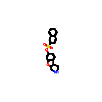 O=S(=O)(Oc1ccc2c(c1)OC1CNCCC21)c1ccc2ccccc2c1